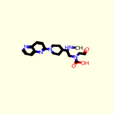 CNC(CN(CC=O)C(=O)O)C1CCN(c2ccc3ncccc3n2)CC1